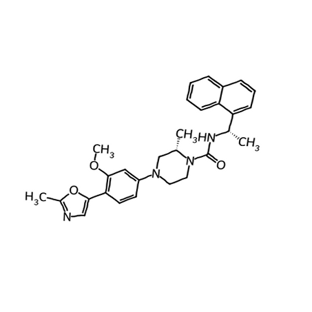 COc1cc(N2CCN(C(=O)N[C@@H](C)c3cccc4ccccc34)[C@@H](C)C2)ccc1-c1cnc(C)o1